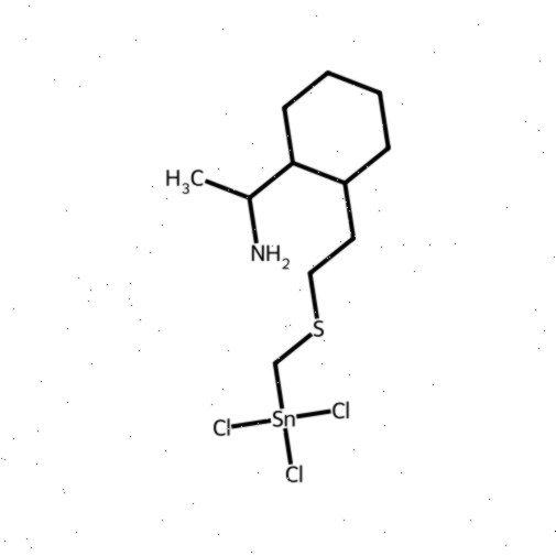 CC(N)C1CCCCC1CCS[CH2][Sn]([Cl])([Cl])[Cl]